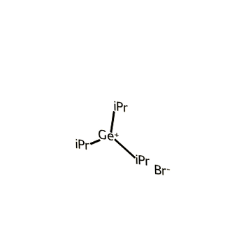 C[CH](C)[Ge+]([CH](C)C)[CH](C)C.[Br-]